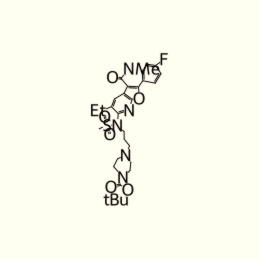 CCc1cc2c(C(=O)NC)c(-c3ccc(F)cc3)oc2nc1N(CCCN1CCN(C(=O)OC(C)(C)C)CC1)S(C)(=O)=O